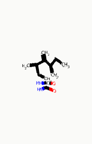 C=CC(=C)C(=C)C(=C)CC.N=C=O.N=C=O